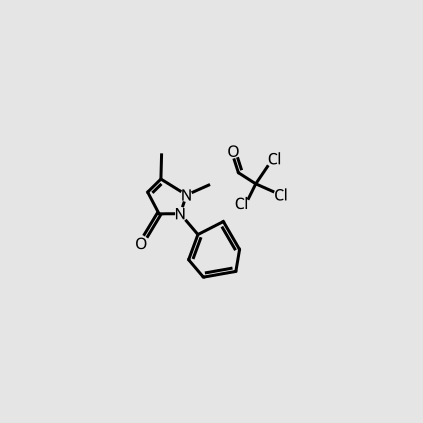 Cc1cc(=O)n(-c2ccccc2)n1C.O=CC(Cl)(Cl)Cl